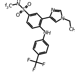 CCn1cnc(-c2cc(S(=O)(=O)NC)ccc2Nc2ccc(C(F)(F)F)cc2)c1